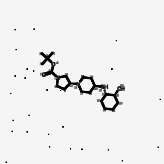 CC(C)(C)OC(=O)N1CC[C@H](N2CCC(N[C@H]3CCCC[C@@H]3O)CC2)C1